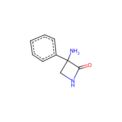 NC1(c2ccccc2)CNC1=O